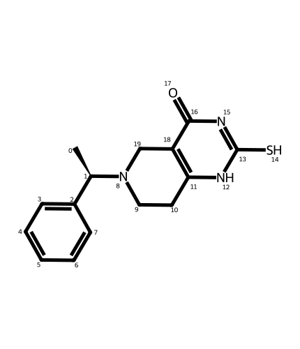 C[C@H](c1ccccc1)N1CCc2[nH]c(S)nc(=O)c2C1